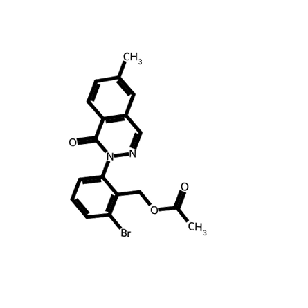 CC(=O)OCc1c(Br)cccc1-n1ncc2cc(C)ccc2c1=O